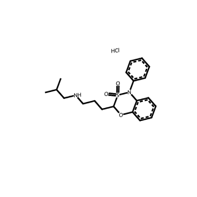 CC(C)CNCCCC1Oc2ccccc2N(c2ccccc2)S1(=O)=O.Cl